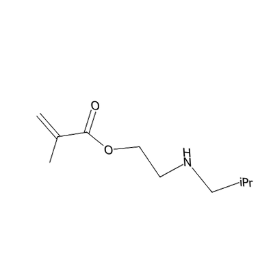 C=C(C)C(=O)OCCNCC(C)C